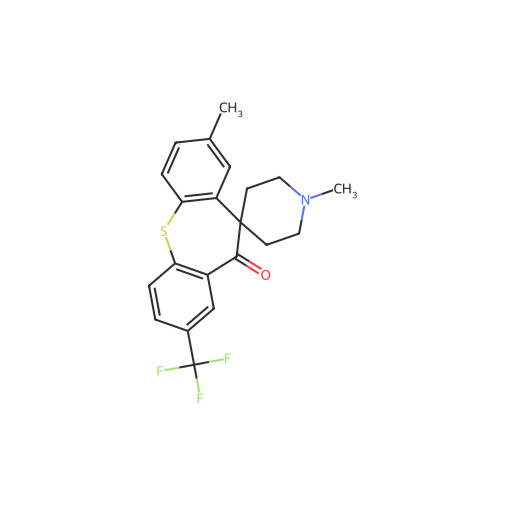 Cc1ccc2c(c1)C1(CCN(C)CC1)C(=O)c1cc(C(F)(F)F)ccc1S2